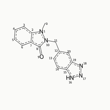 Cn1c2ccccc2c(=O)n1Cc1ccc2[nH]nnc2c1